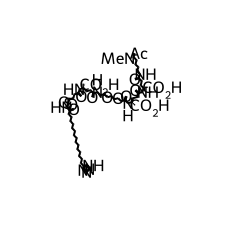 CN[C@@H](CCCCNC(=O)CC[C@H](NC(=O)CC[C@H](NC(=O)COCCOCCNC(=O)CC[C@H](NC(=O)CCCS(=O)(=O)NC(=O)CCCCCCCCCCCCCCCc1nnn[nH]1)C(=O)O)C(=O)O)C(=O)O)C(C)=O